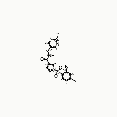 Cc1ccc(S(=O)(=O)n2ccc(C(=O)NCc3cnc(C)nc3)c2)c(F)c1